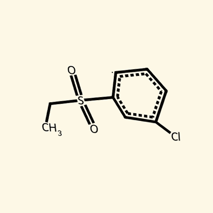 CCS(=O)(=O)c1[c]ccc(Cl)c1